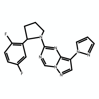 Fc1ccc(F)c(C2CCCN2c2ncn3ncc(-n4cccn4)c3n2)c1